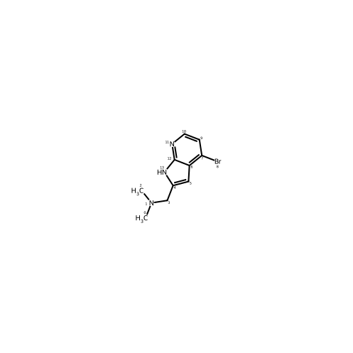 CN(C)Cc1cc2c(Br)ccnc2[nH]1